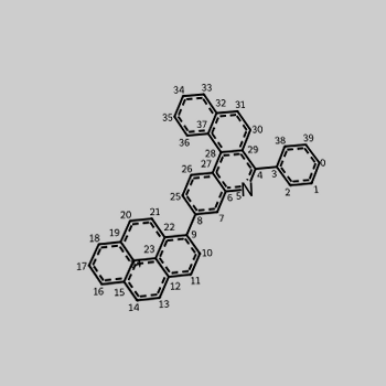 c1ccc(-c2nc3cc(-c4ccc5ccc6cccc7ccc4c5c67)ccc3c3c2ccc2ccccc23)cc1